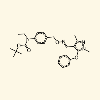 CCN(C(=O)OC(C)(C)C)c1ccc(CON=Cc2c(C)nn(C)c2Oc2ccccc2)cc1